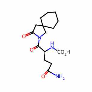 NC(=O)CC[C@H](NC(=O)O)C(=O)N1CC2(CCCCC2)CC1=O